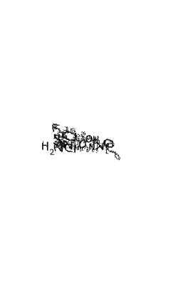 C=CC(=O)N1CCN2Cc3cc(Cl)c(-c4ccc(F)c5sc(N)nc45)c(C)c3OC[C@@H]2C1